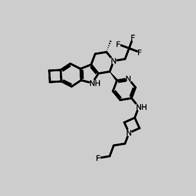 C[C@H]1Cc2c([nH]c3cc4c(cc23)CC4)[C@H](c2ccc(NC3CN(CCCF)C3)cn2)N1CC(F)(F)F